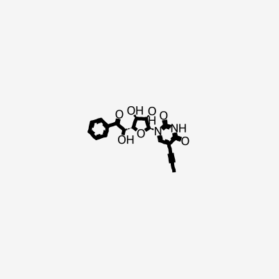 CC#Cc1cn([C@@H]2O[C@H](C(O)C(=O)c3ccccc3)[C@@H](O)[C@@H]2O)c(=O)[nH]c1=O